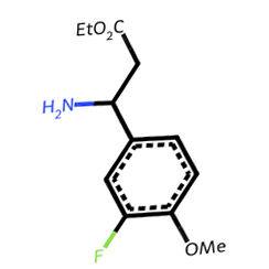 CCOC(=O)CC(N)c1ccc(OC)c(F)c1